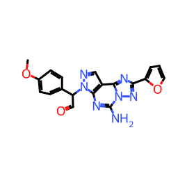 COc1ccc(C(C=O)n2ncc3c2nc(N)n2nc(-c4ccco4)nc32)cc1